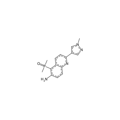 Cn1cc(-c2ccc3c(P(C)(C)=O)c(N)ccc3n2)cn1